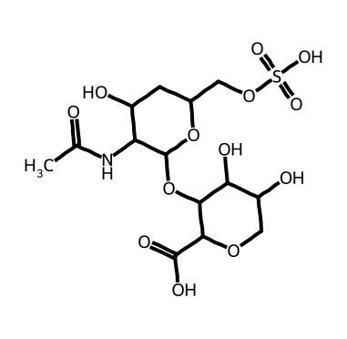 CC(=O)NC1C(O)CC(COS(=O)(=O)O)OC1OC1C(C(=O)O)OCC(O)C1O